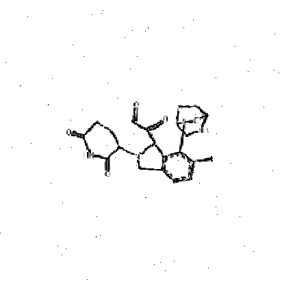 O=CC(=O)C1c2c(ccc(F)c2N2CC3CCC2CN3)CN1C1CCC(=O)NC1=O